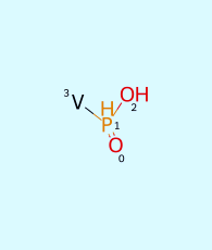 O=[PH](O)[V]